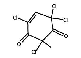 CC1(Cl)C(=O)C(Cl)=CC(Cl)(Cl)C1=O